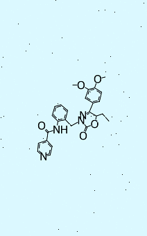 CCC1OC(=O)N(Cc2ccccc2NC(=O)c2ccncc2)N=C1c1ccc(OC)c(OC)c1